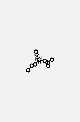 c1ccc(-c2ccc3cc(-c4nc(-c5ccc6c(c5)c5ccccc5n6-c5ccccc5)nc(-c5cc6ccccc6s5)n4)ccc3c2)cc1